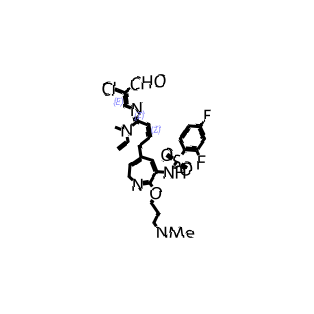 C=CN(C)C(/C=C\CC1=CCN=C(OCCCNC)C(NS(=O)(=O)c2ccc(F)cc2F)=C1)=N\C=C(\Cl)C=O